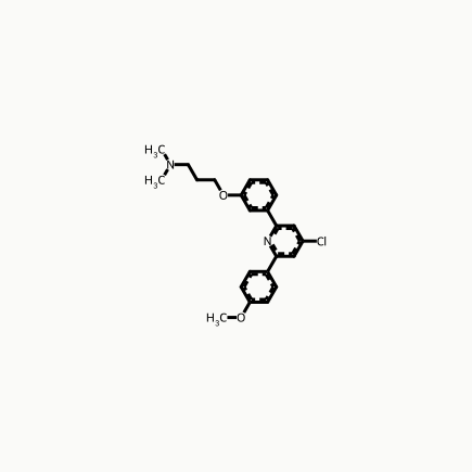 COc1ccc(-c2cc(Cl)cc(-c3cccc(OCCCN(C)C)c3)n2)cc1